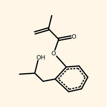 C=C(C)C(=O)Oc1ccccc1CC(C)O